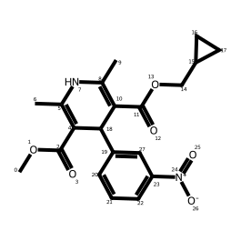 COC(=O)C1=C(C)NC(C)=C(C(=O)OCC2CC2)C1c1cccc([N+](=O)[O-])c1